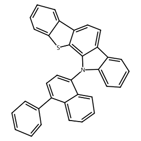 c1ccc(-c2ccc(-n3c4ccccc4c4ccc5c6ccccc6sc5c43)c3ccccc23)cc1